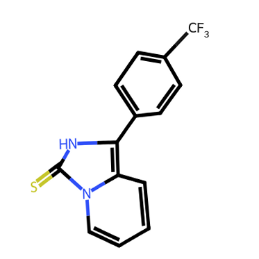 FC(F)(F)c1ccc(-c2[nH]c(=S)n3ccccc23)cc1